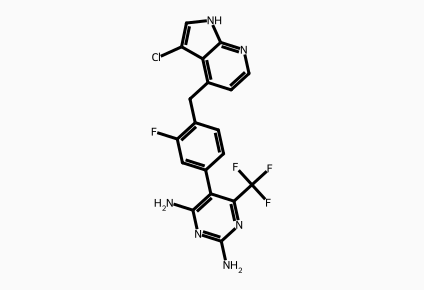 Nc1nc(N)c(-c2ccc(Cc3ccnc4[nH]cc(Cl)c34)c(F)c2)c(C(F)(F)F)n1